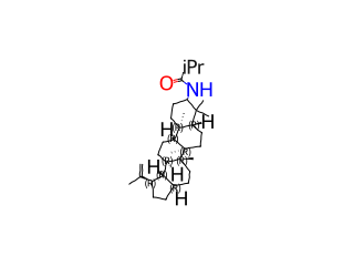 C=C(C)[C@@H]1CC[C@@H]2CC[C@]3(C)[C@H](CC[C@@H]4[C@@]5(C)CCC(NC(=O)C(C)C)C(C)(C)[C@@H]5CC[C@]43C)[C@H]21